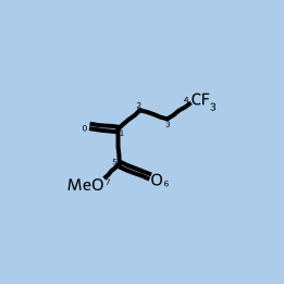 C=C(CCC(F)(F)F)C(=O)OC